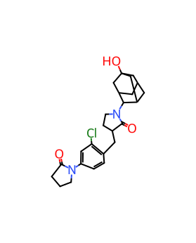 O=C1CCCN1c1ccc(CC2CCN(C3C4CC5CC3CC(O)(C5)C4)C2=O)c(Cl)c1